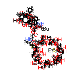 CCSCC1O[C@@H]2O[C@@H]3C(CO)O[C@@H](C[C@H]3O)O[C@@H]3C(CO)O[C@H](O[C@@H]4C(CSCC(CC)C(=O)NCCC(=O)OCC(=O)O[C@@H](C(=O)O[C@H]5C[C@@]6(O)[C@@H](OC(=O)c7ccccc7)[C@@H]7[C@]8(OC(C)=O)CO[C@@H]8C[C@H](O)[C@@]7(C)C(=O)[C@H](O)C(=C5C)C6(C)C)[C@@H](NC(=O)OC(C)(C)C)c5ccccc5)O[C@H](O[C@H]5CC(O)[C@H](OC5CO)O[C@@H]5C(CO)O[C@H](O[C@@H]6C(CO)O[C@H](O[C@H]1[C@H](O)C2O)C(O)[C@H]6O)C(O)[C@H]5O)C(O)[C@H]4O)C(O)[C@H]3O